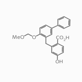 COCOc1ccc(-c2ccccc2)cc1Cc1cc(O)ccc1C(=O)O